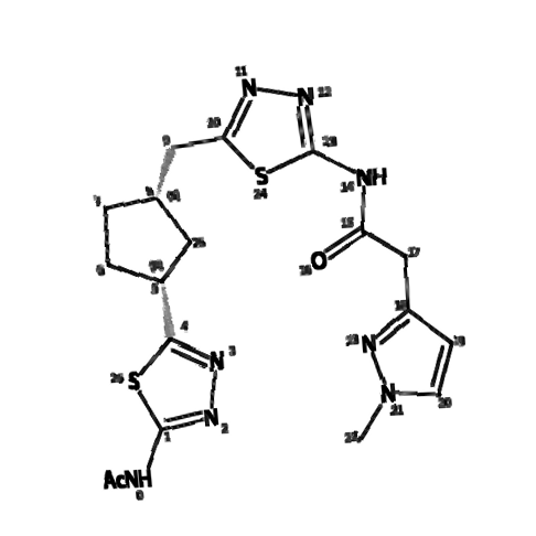 CC(=O)Nc1nnc([C@@H]2CC[C@H](Cc3nnc(NC(=O)Cc4ccn(C)n4)s3)C2)s1